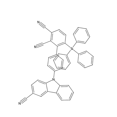 N#Cc1ccc2c(c1)c1ccccc1n2-c1ccc(-c2c([Si](c3ccccc3)(c3ccccc3)c3ccccc3)ccc(C#N)c2C#N)cc1